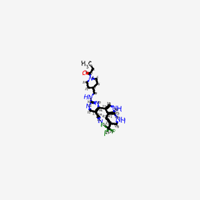 CCC(=O)N1CCC(CNc2ncc(C#N)c(-c3c[nH]c4c3C=C(C(F)(F)F)CN4)n2)CC1